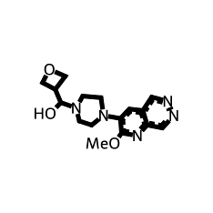 COc1nc2cnncc2cc1N1CCN(C(O)C2COC2)CC1